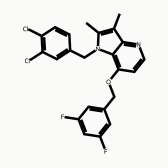 Cc1c(C)n(Cc2ccc(Cl)c(Cl)c2)c2c(OCc3cc(F)cc(F)c3)ccnc12